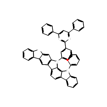 c1ccc(-c2cc(-c3ccccc3)nc(-c3cccc(-n4c5cc6oc7ccccc7c6cc5c5ccc6c7ccccc7n(-c7ccccc7)c6c54)c3)n2)cc1